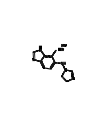 Br.Br.Cc1c(NN2C=NCC2)ccc2nc[nH]c12